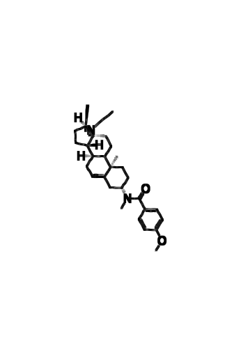 COc1ccc(C(=O)N(C)[C@H]2CC[C@@]3(C)C(=CC[C@@H]4C3CC[C@]35CN(C)[C@@H](C)[C@H]3CC[C@@H]45)C2)cc1